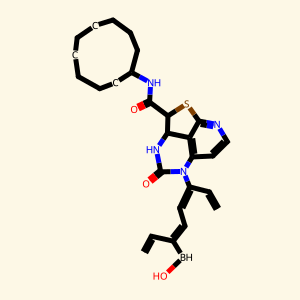 C=C/C(BO)=C\C=C(/C=C)N1C(=O)NC2c3c1ccnc3SC2C(=O)NC1CCCCCCCCC1